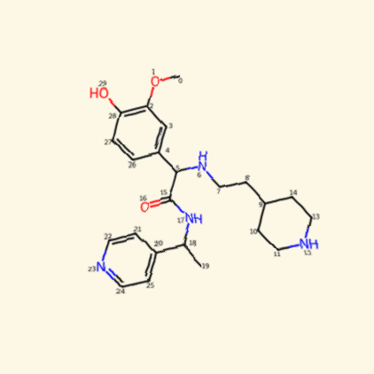 COc1cc(C(NCCC2CCNCC2)C(=O)NC(C)c2ccncc2)ccc1O